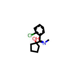 C/N=C(\c1ccccc1Cl)C1(O)CCCC1